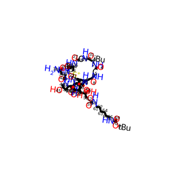 CC[C@H](C)[C@@H]1NC(=O)CNC(=O)C2Cc3c([nH]c4cc(O)ccc34)[S@+]([O-])C[C@@H](NC(=O)CNC1=O)C(=O)N[C@@H](CC(N)=O)C(=O)N1C[C@H](O)C[C@H]1C(=O)N[C@@H]([C@@H](C)[C@@H](O)COC(=O)NCCCCCCNC(=O)OC(C)(C)C)C(=O)N2